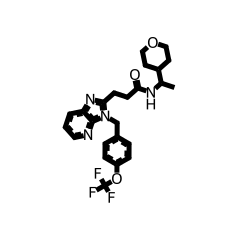 CC(NC(=O)CCc1nc2cccnc2n1Cc1ccc(OC(F)(F)F)cc1)C1CCOCC1